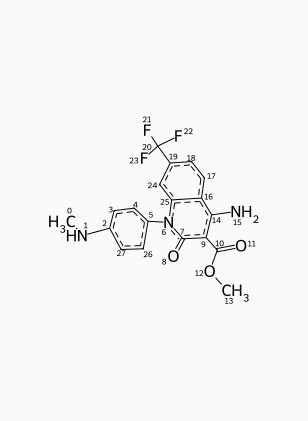 CNc1ccc(-n2c(=O)c(C(=O)OC)c(N)c3ccc(C(F)(F)F)cc32)cc1